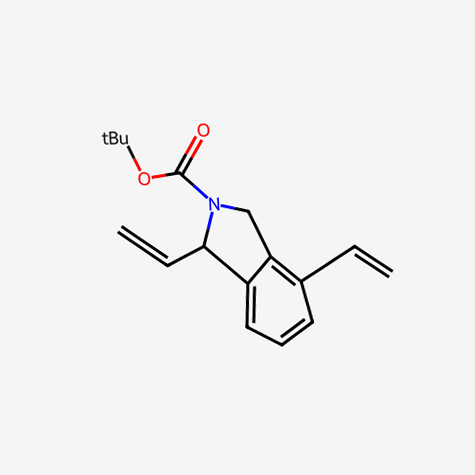 C=Cc1cccc2c1CN(C(=O)OC(C)(C)C)C2C=C